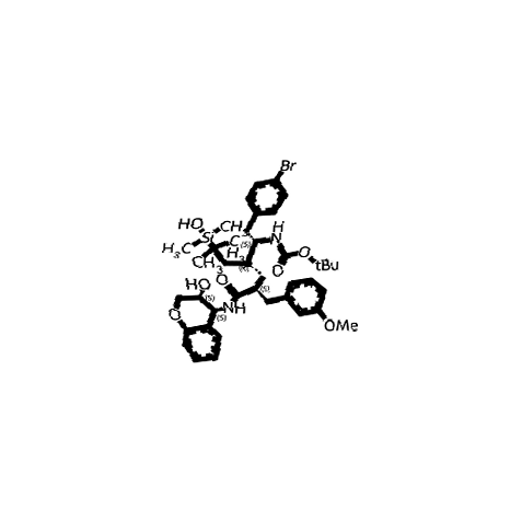 COc1cccc(C[C@H](C[C@H](CC(C)(C)[Si](C)(C)O)[C@H](Cc2ccc(Br)cc2)NC(=O)OC(C)(C)C)C(=O)N[C@H]2c3ccccc3OC[C@H]2O)c1